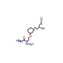 CCCCCCCN(CCO[C@H]1CCC[C@@H](CCC(CN=C=O)C(C)C)C1)C(=O)NCCCC